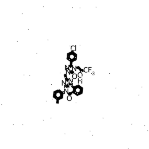 Cc1cccc(NC(=O)c2ccccc2-n2cnc(Cn3nc(-c4ccc(Cl)cc4)n(CC(O)C(F)(F)F)c3=O)n2)c1